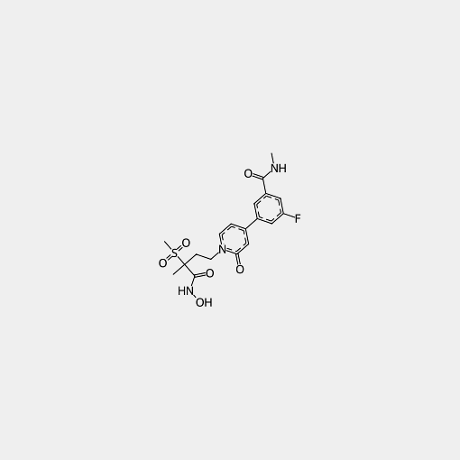 CNC(=O)c1cc(F)cc(-c2ccn(CCC(C)(C(=O)NO)S(C)(=O)=O)c(=O)c2)c1